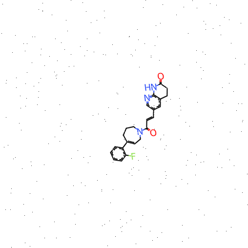 O=C1CCc2cc(/C=C/C(=O)N3CC=C(c4ccccc4F)CCC3)cnc2N1